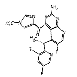 C[C@@H](c1ncc(F)cc1F)c1c(F)cnc2nc(N)nc(Nc3cn(C)cn3)c12